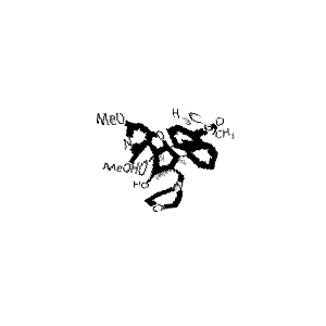 COc1cc2c(c(OC)n1)[C@]1(O)[C@H](O)[C@H](CN3CCOCC3)[C@@H](c3ccccc3)[C@]1(c1ccc(P(C)(C)=O)cc1)O2